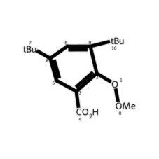 COOc1c(C(=O)O)cc(C(C)(C)C)cc1C(C)(C)C